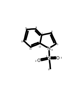 CS(=O)(=O)n1ccc2c[c]ccc21